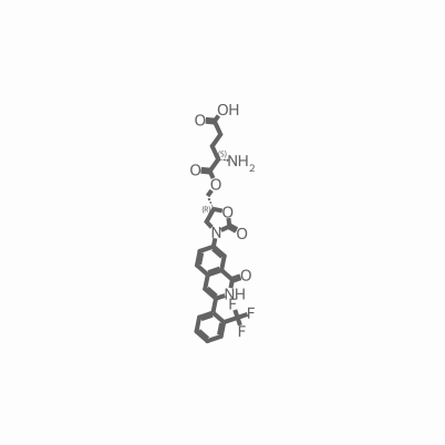 N[C@@H](CCC(=O)O)C(=O)OC[C@H]1CN(c2ccc3cc(-c4ccccc4C(F)(F)F)[nH]c(=O)c3c2)C(=O)O1